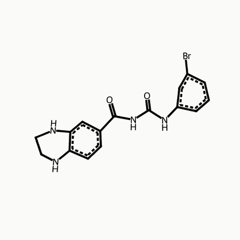 O=C(NC(=O)c1ccc2c(c1)NCCN2)Nc1cccc(Br)c1